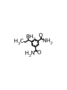 BC(CC)c1cc(C(N)=O)cc(C(N)=O)c1